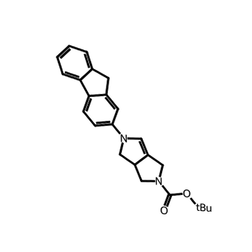 CC(C)(C)OC(=O)N1CC2=CN(c3ccc4c(c3)Cc3ccccc3-4)CC2C1